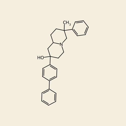 CC1(c2ccccc2)CCC2CC(O)(c3ccc(-c4ccccc4)cc3)CCN2C1